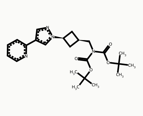 CC(C)(C)OC(=O)N(C[C@H]1C[C@@H](n2cc(-c3ccccn3)cn2)C1)C(=O)OC(C)(C)C